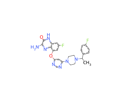 CC(c1ccc(F)cc1)N1CCN(c2cc(Oc3cc(F)cc4[nH]c(=O)c(N)nc34)ncn2)CC1